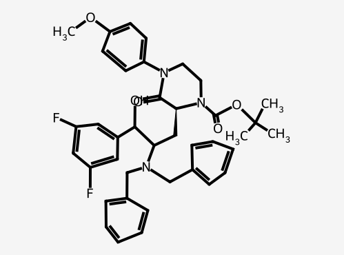 COc1ccc(N2CCN(C(=O)OC(C)(C)C)[C@@H](CC(C(O)c3cc(F)cc(F)c3)N(Cc3ccccc3)Cc3ccccc3)C2=O)cc1